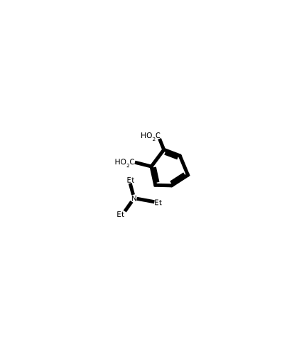 CCN(CC)CC.O=C(O)c1ccccc1C(=O)O